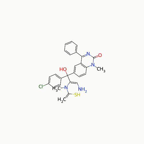 C=C(S)N(C)/C(=C\N)C(O)(c1ccc(Cl)cc1)c1ccc2c(c1)c(-c1ccccc1)nc(=O)n2C